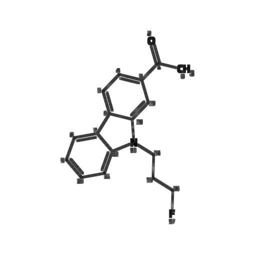 CC(=O)c1ccc2c3ccccc3n(CCCF)c2c1